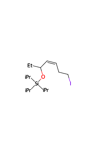 CCC(/C=C\CCI)O[Si](C(C)C)(C(C)C)C(C)C